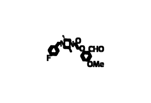 COc1ccc(OCC(=O)N2C[C@@H](C)N(Cc3ccc(F)cc3)C[C@@H]2C)c(C=O)c1